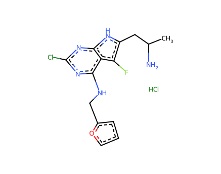 CC(N)Cc1[nH]c2nc(Cl)nc(NCc3ccco3)c2c1F.Cl